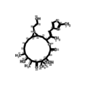 CC(=Cc1csc(C)n1)C1CC2C(CCCC(C)C(O)C(C)C(=O)C(C)(C)C(O)CC(=O)O1)N2CCO